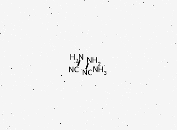 N.N#CN.N#CN